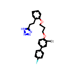 CCc1cc(-c2ccc(F)cc2)ccc1OCCCOc1ccccc1CCc1nnn[nH]1